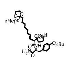 CCCCCCCC1(CCCCCC/C=C/[C@H](C(=O)N[C@@H](Cc2ccc(OCCCC)cc2)C(N)=O)[C@@](O)(CCF)C(=O)O)OCCO1